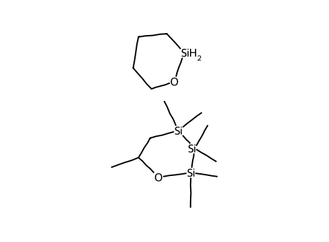 C1CC[SiH2]OC1.CC1C[Si](C)(C)[Si](C)(C)[Si](C)(C)O1